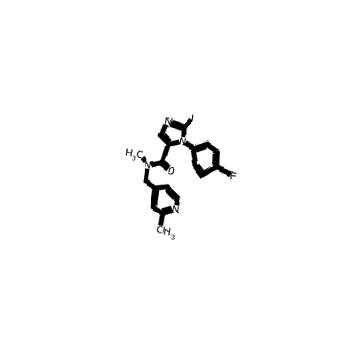 Cc1cc(CN(C)C(=O)c2cnc(I)n2-c2ccc(F)cc2)ccn1